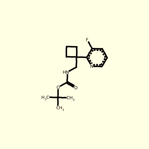 CC(C)(C)OC(=O)NCC1(c2ncccc2F)CCC1